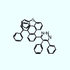 c1ccc(-c2ccccc2-c2cccc(-c3nnnc(-c4ccccc4)c3-c3ccccc3)c2-c2cccc3sc4ccccc4c23)cc1